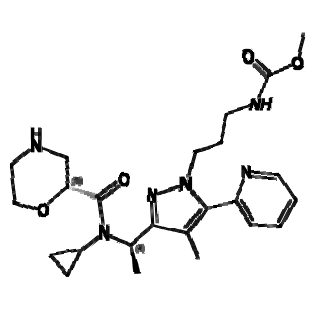 COC(=O)NCCCn1nc([C@@H](C)N(C(=O)[C@H]2CNCCO2)C2CC2)c(C)c1-c1ccccn1